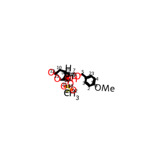 COc1ccc(COC[C@H]2[C@H]3CC(=O)OC([C@H]3O)[C@@H]2OS(C)(=O)=O)cc1